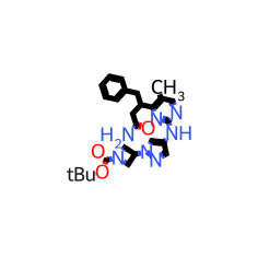 Cc1cnc(Nc2cnn(C3CN(C(=O)OC(C)(C)C)C3)c2)nc1C(CC(N)=O)Cc1ccccc1